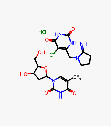 Cl.N=C1CCCN1Cc1[nH]c(=O)[nH]c(=O)c1Cl.O=c1[nH]c(=O)n(C2CC(O)C(CO)O2)cc1C(F)(F)F